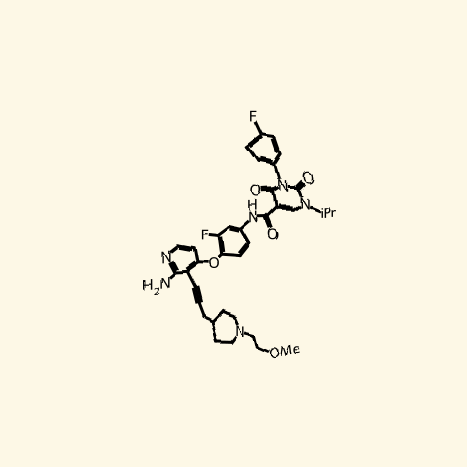 COCCN1CCC(CC#Cc2c(Oc3ccc(NC(=O)c4cn(C(C)C)c(=O)n(-c5ccc(F)cc5)c4=O)cc3F)ccnc2N)CC1